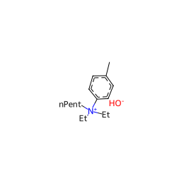 CCCCC[N+](CC)(CC)c1ccc(C)cc1.[OH-]